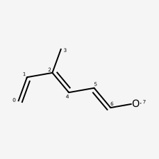 C=CC(C)=CC=C[O]